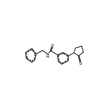 O=C(NCc1ccccc1)c1cccc(N2CCCC2=O)c1